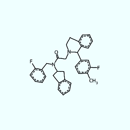 Cc1ccc(C2c3ccccc3CCN2CC(=O)N(Cc2ccccc2F)C2Cc3ccccc3C2)cc1F